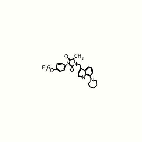 CC1C(=O)N(c2ccc(OC(F)(F)F)cc2)C(=O)N1Cc1ccnc2c(N3CCCCC3)cccc12